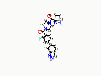 Cn1cc2ccc(-c3ccc(C(=O)N4CCN(C(=O)C5(N)CCC5)CC4)c(F)c3)cc2n1